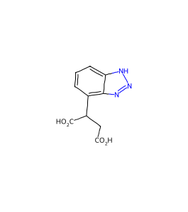 O=C(O)CC(C(=O)O)c1cccc2[nH]nnc12